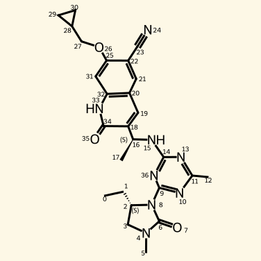 CC[C@H]1CN(C)C(=O)N1c1nc(C)nc(N[C@@H](C)c2cc3cc(C#N)c(OCC4CC4)cc3[nH]c2=O)n1